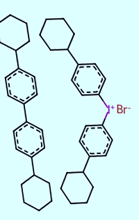 [Br-].c1cc(C2CCCCC2)ccc1-c1ccc(C2CCCCC2)cc1.c1cc(C2CCCCC2)ccc1[I+]c1ccc(C2CCCCC2)cc1